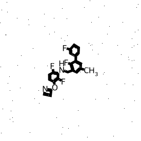 Cc1cc(CNc2c(F)ccc(OC3=NC=C3)c2F)c(F)c(-c2cccc(F)c2)c1